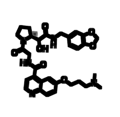 CN(C)CCCOc1ccc2nccc(C(=O)NCC(=O)N3CCC[C@H]3C(O)C(=O)NCc3ccc4c(c3)OCO4)c2c1